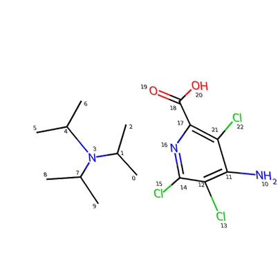 CC(C)N(C(C)C)C(C)C.Nc1c(Cl)c(Cl)nc(C(=O)O)c1Cl